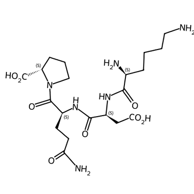 NCCCC[C@H](N)C(=O)N[C@@H](CC(=O)O)C(=O)N[C@@H](CCC(N)=O)C(=O)N1CCC[C@H]1C(=O)O